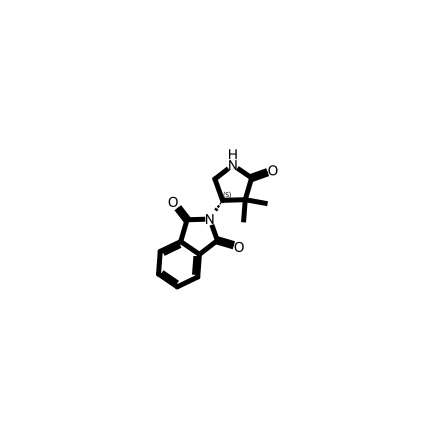 CC1(C)C(=O)NC[C@H]1N1C(=O)c2ccccc2C1=O